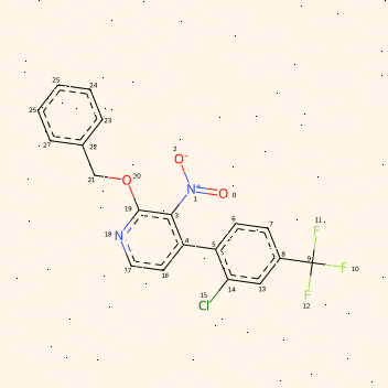 O=[N+]([O-])c1c(-c2ccc(C(F)(F)F)cc2Cl)ccnc1OCc1ccccc1